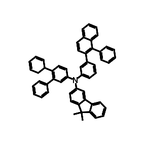 CC1(C)c2ccccc2-c2cc(N(c3cccc(-c4ccc5ccccc5c4-c4ccccc4)c3)c3ccc(C4C=CC=CC4)c(-c4ccccc4)c3)ccc21